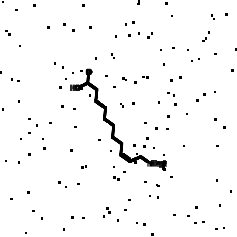 CCCCCCCC/C=C\CCCCCCCC([O])O